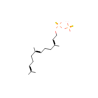 CC(C)=CCCC(C)=CCCC(C)=CCOP(O)(=S)OP(O)(O)=S